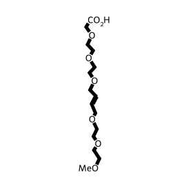 COCCOCCOC/C=C/COCCOCCOCC(=O)O